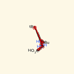 CC(C)(C)OC(=O)CCCCCCCCCCCCCCCCCCC(=O)N[C@@H](CCC(=O)NC(C)(C)C(=O)NCCOCCOCC(=O)O)C(=O)OC(C)(C)C